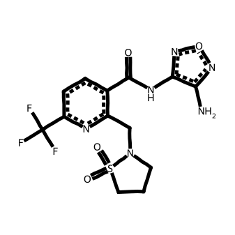 Nc1nonc1NC(=O)c1ccc(C(F)(F)F)nc1CN1CCCS1(=O)=O